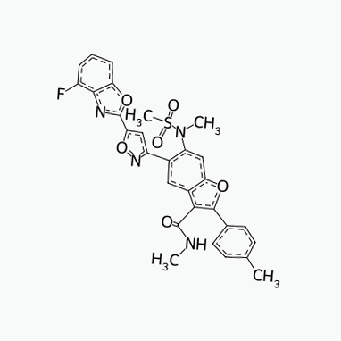 CNC(=O)c1c(-c2ccc(C)cc2)oc2cc(N(C)S(C)(=O)=O)c(-c3cc(-c4nc5c(F)cccc5o4)on3)cc12